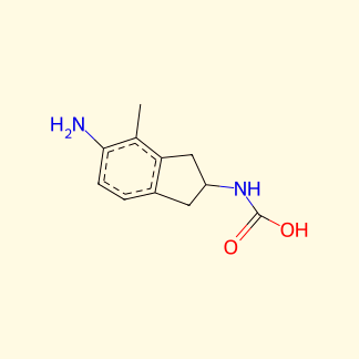 Cc1c(N)ccc2c1CC(NC(=O)O)C2